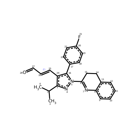 CC(C)c1nn(C2=Nc3ccccc3CC2)c(-c2ccc(F)cc2)c1/C=C/C=O